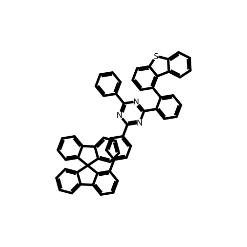 c1ccc(-c2nc(-c3ccc(-c4cccc5c4C4(c6ccccc6-c6ccccc64)c4ccccc4-5)cc3)nc(-c3ccccc3-c3cccc4sc5ccccc5c34)n2)cc1